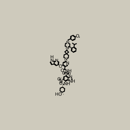 COc1ccc(CN2CCN(C3CC4(CCN(c5cc(Oc6cnc7[nH]ccc7c6)c(C(=O)NS(=O)(=O)c6cc([N+](=O)[O-])c(NC[C@H]7CC[C@](C)(O)CC7)c7[nH]cnc67)cn5)CC4)C3)[C@H](c3ccccc3C(C)C)C2)cc1